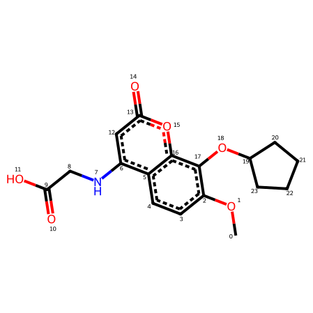 COc1ccc2c(NCC(=O)O)cc(=O)oc2c1OC1CCCC1